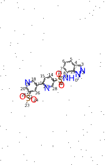 Cn1ncc2cccc(NS(=O)(=O)c3ccc(-c4cncc(S(C)(=O)=O)c4)nc3)c21